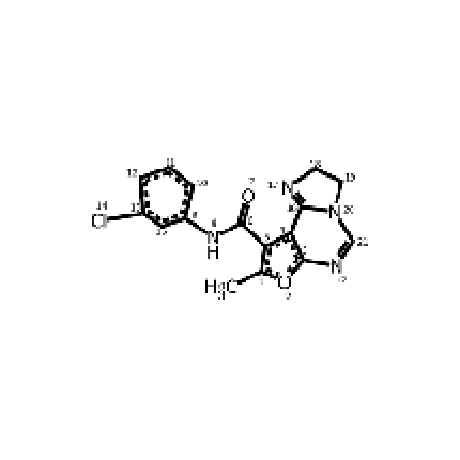 Cc1oc2c(c1C(=O)Nc1cccc(Cl)c1)C1=NCCN1C=N2